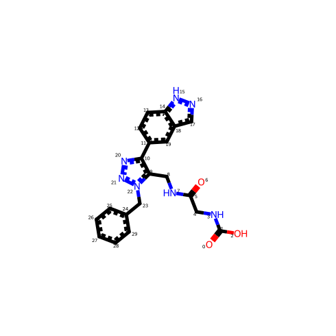 O=C(O)NCC(=O)NCc1c(-c2ccc3[nH]ncc3c2)nnn1Cc1ccccc1